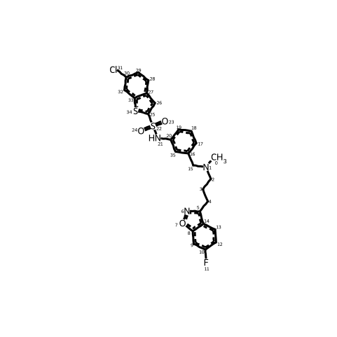 CN(CCCc1noc2cc(F)ccc12)Cc1cccc(NS(=O)(=O)c2cc3ccc(Cl)cc3s2)c1